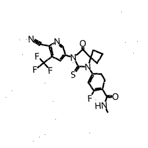 CNC(=O)C1=C(F)C=C(N2C(=S)N(c3cnc(C#N)c(C(F)(F)F)c3)C(=O)C23CCC3)CC1